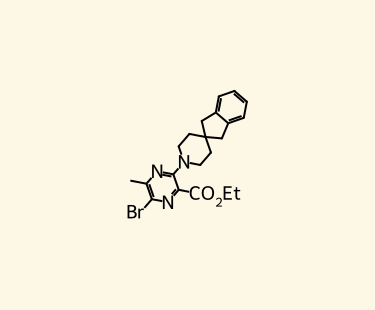 CCOC(=O)c1nc(Br)c(C)nc1N1CCC2(CC1)Cc1ccccc1C2